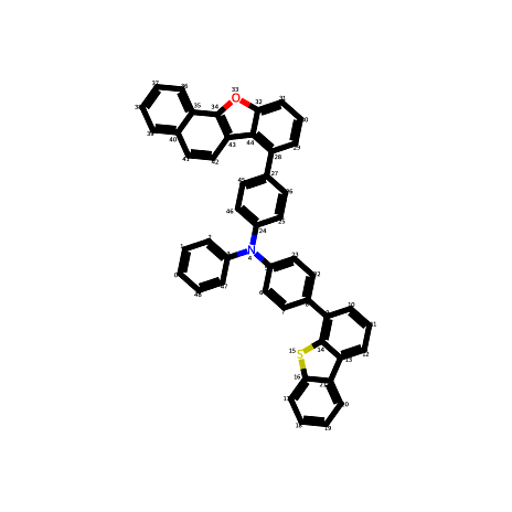 c1ccc(N(c2ccc(-c3cccc4c3sc3ccccc34)cc2)c2ccc(-c3cccc4oc5c6ccccc6ccc5c34)cc2)cc1